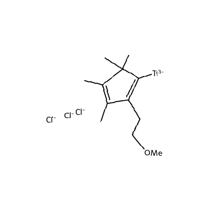 COCCC1=[C]([Ti+3])C(C)(C)C(C)=C1C.[Cl-].[Cl-].[Cl-]